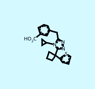 O=C(O)c1cccc(Cc2nnc(C3(c4cccs4)CCC3)n2C2CC2)c1